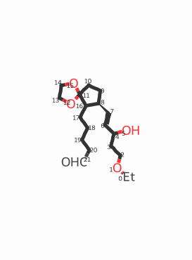 CCOCCC(O)C=C[C@@H]1CCC2(OCCO2)C1CCCCC=O